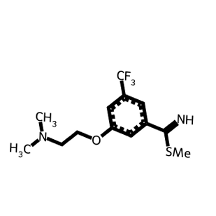 CSC(=N)c1cc(OCCN(C)C)cc(C(F)(F)F)c1